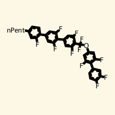 CCCCCc1ccc(-c2cc(F)c(-c3cc(F)c(C(F)(F)Oc4cc(F)c(-c5ccc(F)c(F)c5)c(F)c4)c(F)c3)c(F)c2)c(F)c1